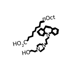 CCCCCCCCC=CCCCCCCCC(=O)O.OCCN1CCN(CCCN2c3ccccc3C=Cc3ccccc32)CC1